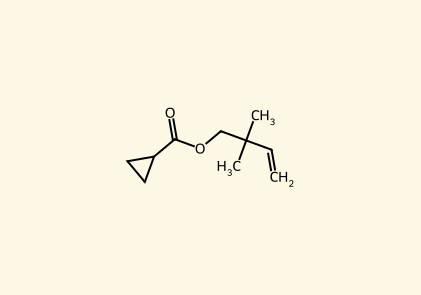 C=CC(C)(C)COC(=O)C1CC1